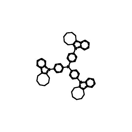 c1ccc2c(c1)c1c(n2-c2ccc(N(c3ccc(-n4c5c(c6ccccc64)CCCCCC5)cc3)c3ccc(-n4c5c(c6ccccc64)CCCCCC5)cc3)cc2)CCCCCC1